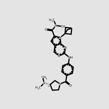 CN(C)C(=O)c1cc2cnc(Nc3ccc(C(=O)N4CC[C@H](N(C)C)C4)cc3)nc2n1C12CC(C1)C2